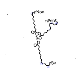 CCCC/C=C\C/C=C\CCCCCCCC(=O)OC[C@H](COC(=O)CCCCCCC/C=C\CCCCCCCCC)OC(=O)CCCC/C=C\C/C=C\C/C=C\CCCCC